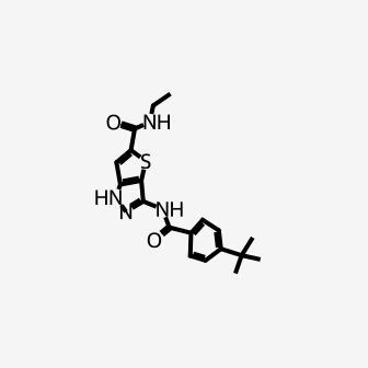 CCNC(=O)c1cc2[nH]nc(NC(=O)c3ccc(C(C)(C)C)cc3)c2s1